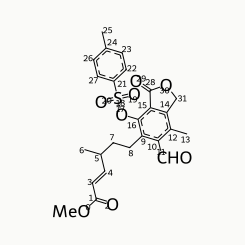 COC(=O)/C=C/C(C)CCc1c(C=O)c(C)c2c(c1OS(=O)(=O)c1ccc(C)cc1)C(=O)OC2